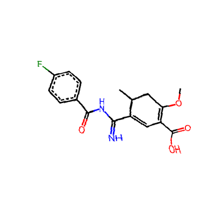 COC1=C(C(=O)O)C=C(C(=N)NC(=O)c2ccc(F)cc2)C(C)C1